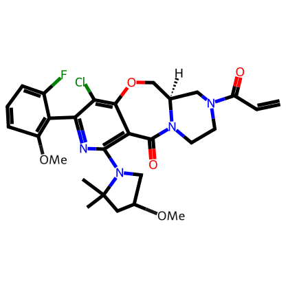 C=CC(=O)N1CCN2C(=O)c3c(N4CC(OC)CC4(C)C)nc(-c4c(F)cccc4OC)c(Cl)c3OC[C@H]2C1